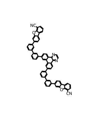 N#Cc1cccc2c1oc1cc(-c3cccc(-c4cccc(-c5ccc6c(c5)c5cc(-c7cccc(-c8cccc(-c9ccc%10c(c9)oc9c(C#N)cccc9%10)c8)c7)ccc5c5nccnc65)c4)c3)ccc12